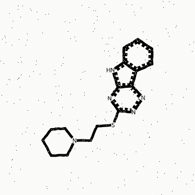 c1ccc2c(c1)[nH]c1nc(SCCN3CCCCC3)nnc12